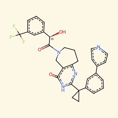 O=C([C@H](O)c1cccc(C(F)(F)F)c1)N1CCCc2nc(C3(c4cccc(-c5ccncc5)c4)CC3)[nH]c(=O)c2C1